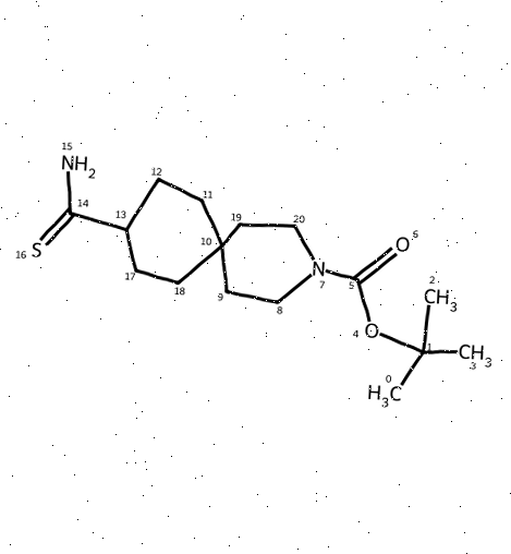 CC(C)(C)OC(=O)N1CCC2(CCC(C(N)=S)CC2)CC1